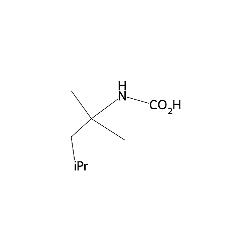 CC(C)CC(C)(C)NC(=O)O